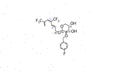 C=C(/C=C(\C=C\[C@@H](C)O[C@H]1OC[C@H](O)[C@H](O)[C@H]1OCc1ccc(F)cc1)C(F)(F)F)C(F)(F)F